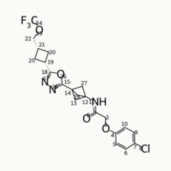 O=C(COc1ccc(Cl)cc1)NC12CC(c3nnc([C@H]4C[C@@H](COC(F)(F)F)C4)o3)(C1)C2